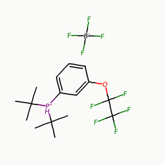 CC(C)(C)[PH+](c1cccc(OC(F)(F)C(F)(F)F)c1)C(C)(C)C.F[B-](F)(F)F